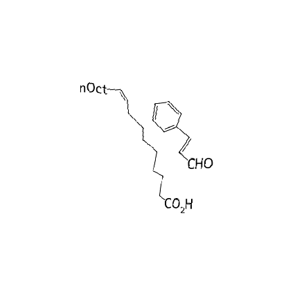 CCCCCCCC/C=C\CCCCCCCC(=O)O.O=CC=Cc1ccccc1